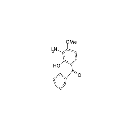 COc1ccc(C(=O)c2ccccc2)c(O)c1N